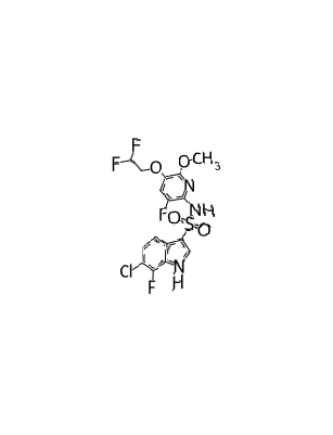 COc1nc(NS(=O)(=O)c2c[nH]c3c(F)c(Cl)ccc23)c(F)cc1OCC(F)F